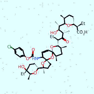 CCC(C(=O)[C@@H](C)[C@@H](O)[C@H](C)[C@@H]1O[C@@H]([C@@H](CC)C(=O)O)CC[C@@H]1C)[C@H]1O[C@]2(C=CC(NC(=O)Oc3ccc(Cl)cc3)[C@]3(CC[C@@](C)([C@H]4CC[C@](O)(CC)[C@H](C)O4)O3)O2)[C@H](C)C[C@@H]1C